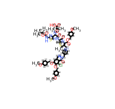 COc1ccc(COC(=O)C2=C(C[N+]34CCC(Cn5ncc6cc(OCc7ccc(OC)cc7)c(OCc7ccc(OC)cc7)c(Cl)c6c5=O)(CC3)CC4)[C@H](C)S[C@@H]3[C@H](NC(=O)/C(=N\OC(C)(C)C(=O)O)c4csc(NC(=O)OC(C)(C)C)n4)C(=O)N23)cc1